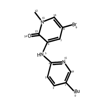 CCC(C)c1ccc(Nc2cc(Br)cn(C)c2=O)nc1